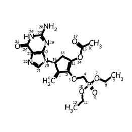 C=C1C(OCP(=O)(OCC)OCC)=C(OC(C)=O)C[C@@H]1n1cnc2c(=O)[nH]c(N)nc21